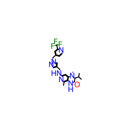 Cc1nc(NCc2cnn(Cc3ccnc(C(F)(F)F)c3)c2)cc2c1NC(=O)C(C(C)C)N2C